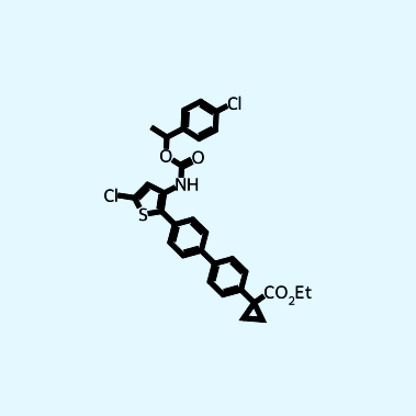 CCOC(=O)C1(c2ccc(-c3ccc(-c4sc(Cl)cc4NC(=O)OC(C)c4ccc(Cl)cc4)cc3)cc2)CC1